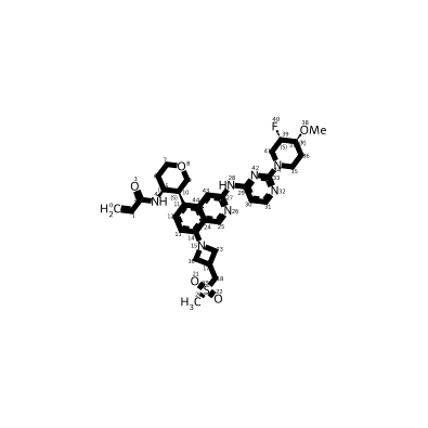 C=CC(=O)N[C@H]1CCOC[C@H]1c1ccc(N2CC(CS(C)(=O)=O)C2)c2cnc(Nc3ccnc(N4CC[C@@H](OC)[C@@H](F)C4)n3)cc12